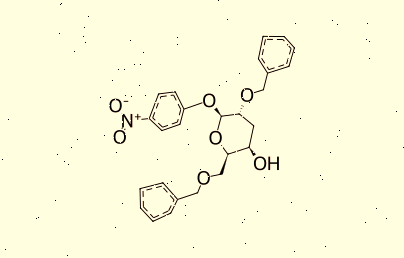 O=[N+]([O-])c1ccc(O[C@@H]2O[C@H](COCc3ccccc3)[C@H](O)C[C@H]2OCc2ccccc2)cc1